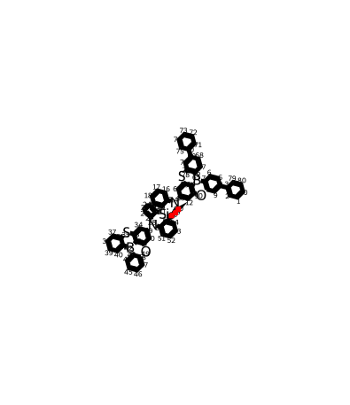 c1ccc(-c2ccc3c(c2)Oc2cc(N4c5ccccc5[Si]5(c6ccccc6N(c6cc7c8c(c6)Sc6ccccc6B8c6ccccc6O7)c6ccccc65)c5ccccc54)cc4c2B3c2ccc(-c3ccccc3)cc2S4)cc1